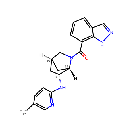 O=C(c1cccc2cn[nH]c12)N1C[C@@H]2C[C@@H](Nc3ccc(C(F)(F)F)cn3)[C@@H]1C2